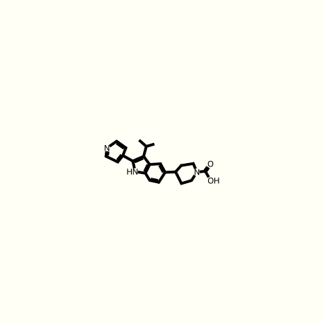 CC(C)c1c(-c2ccncc2)[nH]c2ccc(C3CCN(C(=O)O)CC3)cc12